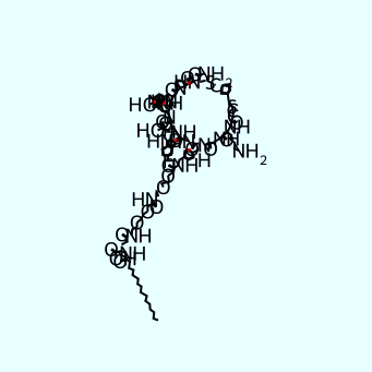 CCCCCCCCCCCCCCCC(=O)N[C@@H](CCC(=O)NCCOCCOCC(=O)NCCOCCOCC(=O)NCc1ccc(C[C@@H]2NC(=O)[C@@H](C)NC(=O)[C@H](CCCCN)NC(=O)CCSCc3cccc(c3)CSC[C@@H](C(N)=O)NC(=O)[C@]3(C)CCCN3C(=O)[C@H](Cc3ccc(O)cc3)NC(=O)[C@H](Cc3cnc[nH]3)NC(=O)[C@H](CC(=O)O)NC(=O)[C@H](Cc3c[nH]c4ccc(F)cc34)NC2=O)cc1)C(=O)O